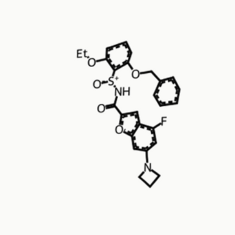 CCOc1cccc(OCc2ccccc2)c1[S+]([O-])NC(=O)c1cc2c(F)cc(N3CCC3)cc2o1